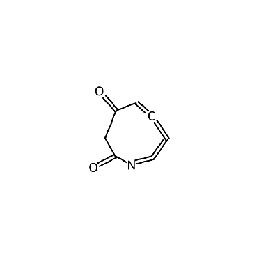 O=C1C=C=C=C=NC(=O)C1